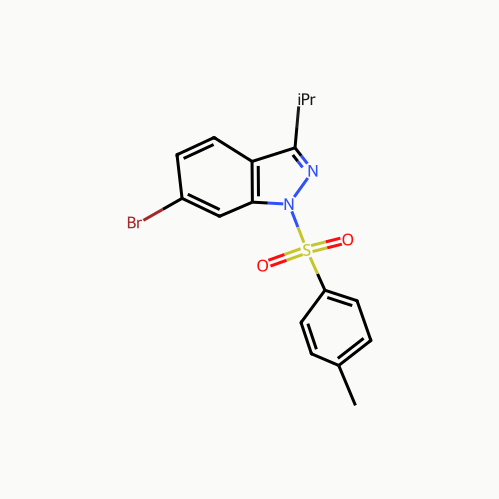 Cc1ccc(S(=O)(=O)n2nc(C(C)C)c3ccc(Br)cc32)cc1